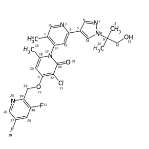 Cc1cnc(-c2cnn(C(C)(C)CO)c2)cc1-n1c(C)cc(OCc2ncc(F)cc2F)c(Cl)c1=O